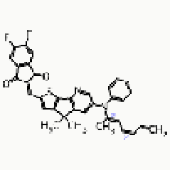 C=C/C=C\C=C(/C)N(c1ccccc1)c1cnc2c(c1)C(C)(C)c1cc(C=C3C(=O)c4cc(F)c(F)cc4C3=O)sc1-2